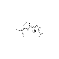 COc1nnc(-c2cccc(C(=O)Cl)c2)[nH]1